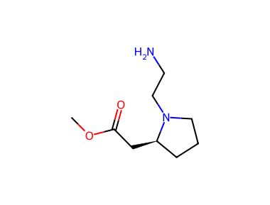 COC(=O)C[C@@H]1CCCN1CCN